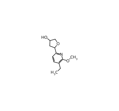 CCc1ccc(C2CC(O)CO2)nc1OC